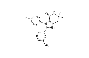 CC1(C)Cc2[nH]c(-c3ccnc(N)c3)c(-c3ccc(F)cc3)c2C(=O)N1